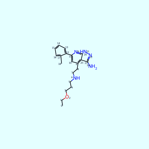 CCOCCCNCCc1cc(-c2ccccc2C)nc2[nH]nc(N)c12